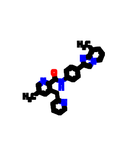 Cc1cnc(C(=O)Nc2ccc(-c3cn4cccc(C)c4n3)cc2)c(Cc2ccccn2)c1